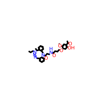 CCCN1/N=N\Cc2ccccc2N(C(=O)CCNC(=O)CCCOC2CC(O)=C(C(C)=O)C=C2OC)Cc2ccccc2C1C